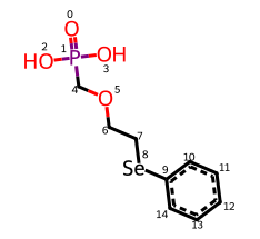 O=P(O)(O)COCC[Se]c1ccccc1